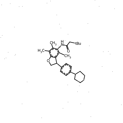 Cc1c(C)c2c(c(C)c1NC(=O)CC(C)(C)C)C(c1ccc(C3CCCCC3)cc1)CO2